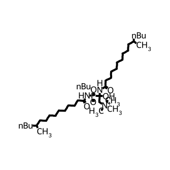 CCCCOP(=O)(NC(=O)CCCCCCCCCC(C)CCCC)C(O)(C[N+](C)(C)C)NC(=O)CCCCCCCCCC(C)CCCC